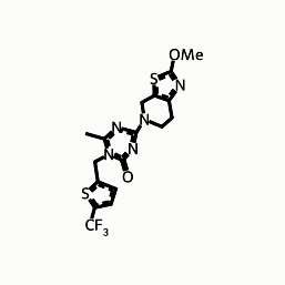 COc1nc2c(s1)CN(c1nc(C)n(Cc3ccc(C(F)(F)F)s3)c(=O)n1)CC2